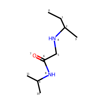 CCC(C)NCC(=O)NC(C)C